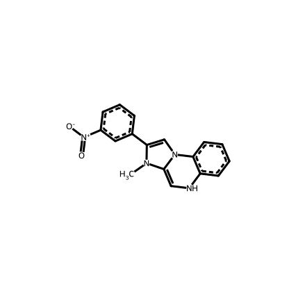 CN1C(c2cccc([N+](=O)[O-])c2)=CN2C1=CNc1ccccc12